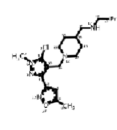 Cc1cc(-c2nn(C)c(Cl)c2CN2CCC(CNCC(C)C)CC2)no1